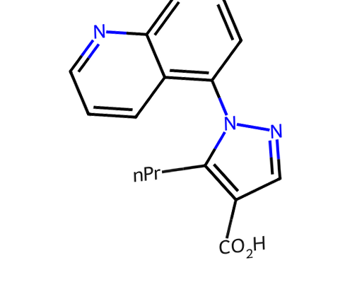 CCCc1c(C(=O)O)cnn1-c1cccc2ncccc12